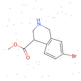 COC(=O)C1CNCc2cc(Br)ccc21